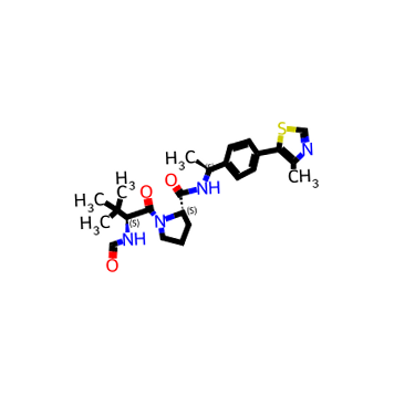 Cc1ncsc1-c1ccc([C@H](C)NC(=O)[C@@H]2CCCN2C(=O)[C@@H](NC=O)C(C)(C)C)cc1